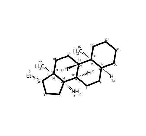 CC[C@H]1CC[C@]2(N)[C@@H]3CC[C@@H]4CCCC[C@]4(C)[C@H]3CC[C@]12C